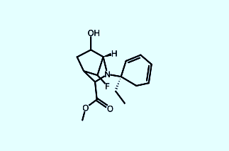 CC[C@]1(N2C(C(=O)OC)C3CC(O)[C@H]2C3F)C=CC=CC1